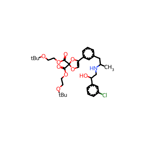 CC(Cc1cccc(C2=COC(C(=O)OCCOC(C)(C)C)(C(=O)OCCOC(C)(C)C)O2)c1)NCC(O)c1cccc(Cl)c1